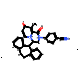 Cc1c2n(ccc1=O)C(C1c3ccccc3CCc3ccccc31)CN(c1ccc(C#N)cc1)C2=O